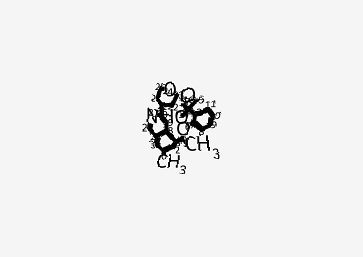 Cc1cc([C@@H](C)Oc2ccccc2C2(O)COC2)c2cc(C3CCOCC3)ncc2c1